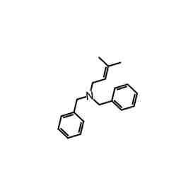 CC(C)=CCN(Cc1ccccc1)Cc1ccccc1